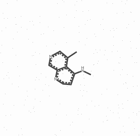 CNc1ccnc2cncc(C)c12